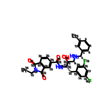 CCc1cccc(CNC[C@H](O)[C@H](Cc2cc(F)cc(F)c2)NC(=O)c2ccc3c(c2)C(=O)N(CC(C)C)C3=O)c1